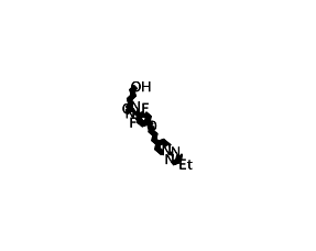 CCc1cnc(N2CCC(CCCOc3cc(F)c(-c4noc(CCCO)n4)c(F)c3)CC2)nc1